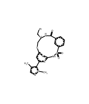 Cc1cnn(C)c1-c1cc2nc(n1)NS(=O)(=O)c1cccc(c1)C(=O)N[C@H](CC(C)C)CO2